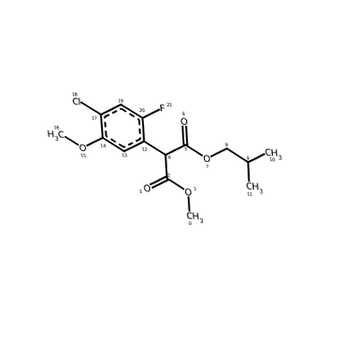 COC(=O)C(C(=O)OCC(C)C)c1cc(OC)c(Cl)cc1F